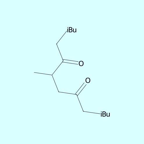 CCC(C)CC(=O)CC(C)C(=O)CC(C)CC